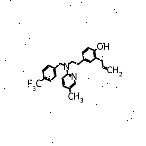 C=CCc1cc(CCN(Cc2ccc(C(F)(F)F)cc2)c2ccc(C)cn2)ccc1O